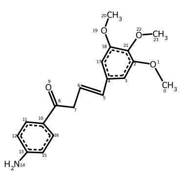 COc1cc(C=CCC(=O)c2ccc(N)cc2)cc(OC)c1OC